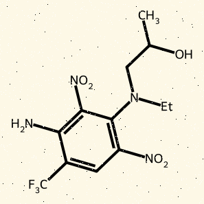 CCN(CC(C)O)c1c([N+](=O)[O-])cc(C(F)(F)F)c(N)c1[N+](=O)[O-]